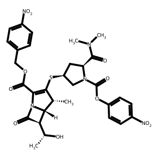 C[C@@H](O)[C@H]1C(=O)N2C(C(=O)OCc3ccc([N+](=O)[O-])cc3)=C(S[C@H]3C[C@@H](C(=O)N(C)C)N(C(=O)Oc4ccc([N+](=O)[O-])cc4)C3)[C@H](C)[C@H]12